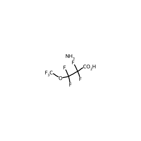 N.O=C(O)C(F)(F)C(F)(F)OC(F)(F)F